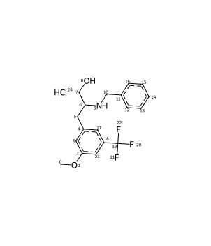 COc1cc(CC(CO)NCc2ccccc2)cc(C(F)(F)F)c1.Cl